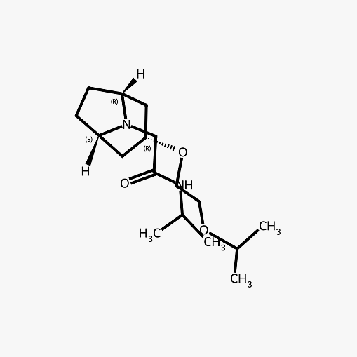 CC(C)NC(=O)CN1[C@@H]2CC[C@H]1C[C@@H](OCCOC(C)C)C2